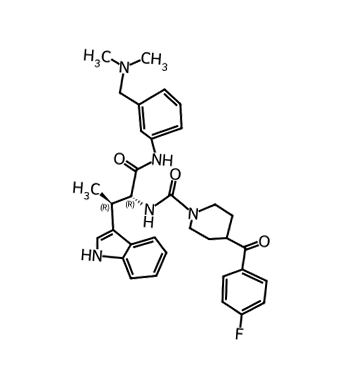 C[C@H](c1c[nH]c2ccccc12)[C@@H](NC(=O)N1CCC(C(=O)c2ccc(F)cc2)CC1)C(=O)Nc1cccc(CN(C)C)c1